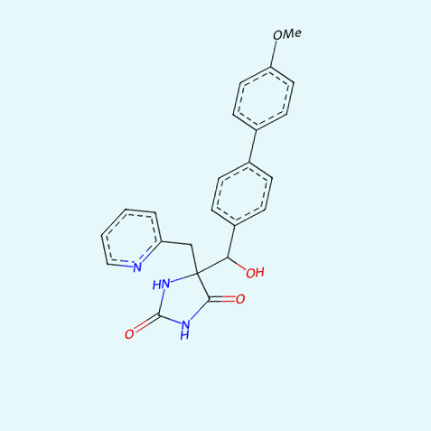 COc1ccc(-c2ccc(C(O)C3(Cc4ccccn4)NC(=O)NC3=O)cc2)cc1